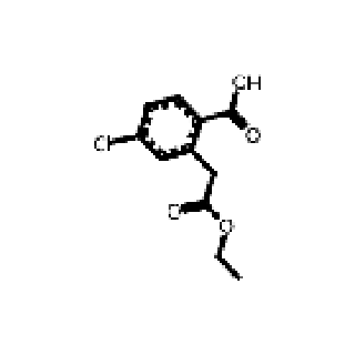 CCOC(=O)Cc1cc(Cl)ccc1C(=O)O